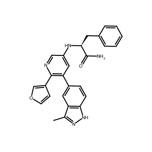 Cc1n[nH]c2ccc(-c3cc(N[C@@H](Cc4ccccc4)C(N)=O)cnc3-c3ccoc3)cc12